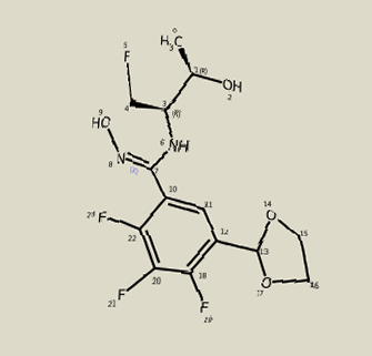 C[C@@H](O)[C@H](CF)N/C(=N\O)c1cc(C2OCCO2)c(F)c(F)c1F